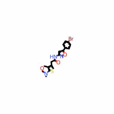 CN1COCc2c(CC(=O)Nc3cc(-c4ccc(Br)cc4)on3)csc21